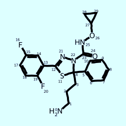 NCCCC1(c2ccccc2)SC(c2cc(F)ccc2F)=NN1C(=O)NOC1CC1